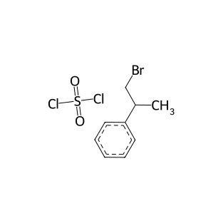 CC(CBr)c1ccccc1.O=S(=O)(Cl)Cl